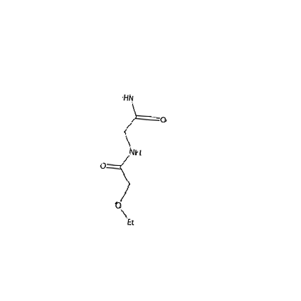 CCOCC(=O)NCC([NH])=O